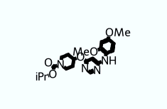 COc1ccc(Nc2cc(OC3CCN(C(=O)OC(C)C)CC3)ncn2)c(OC)c1